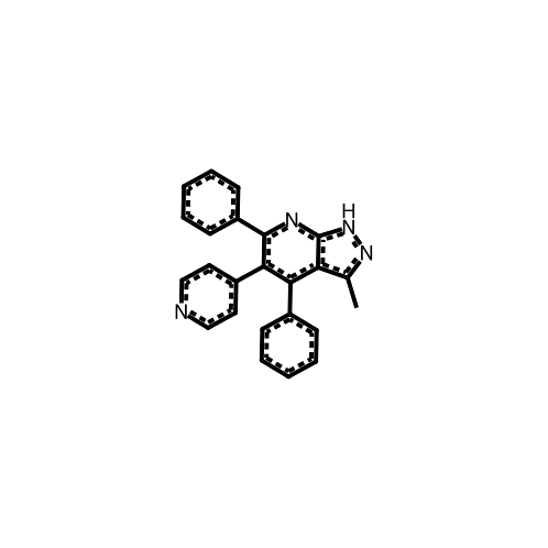 Cc1n[nH]c2nc(-c3ccccc3)c(-c3ccncc3)c(-c3ccccc3)c12